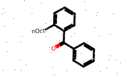 CCCCCCCCc1ccccc1C(=O)c1ccccc1